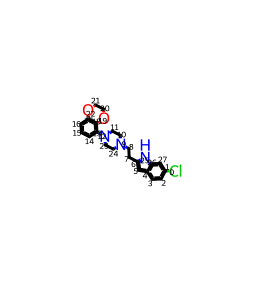 Clc1ccc2cc(CCN3CCN(c4cccc5c4OCCO5)CC3)[nH]c2c1